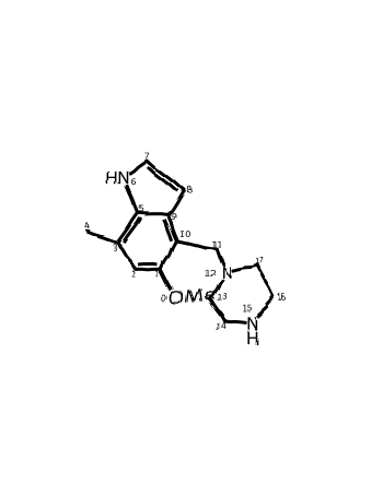 COc1cc(C)c2[nH]ccc2c1CN1CCNCC1